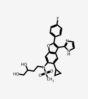 CS(=O)(=O)N(CCC(O)CO)c1cc2oc(-c3ccc(F)cc3)c(-c3ncc[nH]3)c2cc1C1CC1